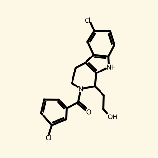 O=C(c1cccc(Cl)c1)N1CCc2c([nH]c3ccc(Cl)cc23)C1CCO